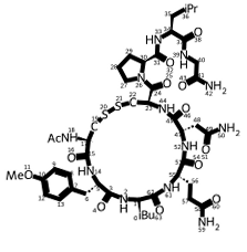 CC[C@H](C)C1NC(=O)[C@H](Cc2ccc(OC)cc2)NC(=O)[C@@H](NC(C)=O)CSSC[C@@H](C(=O)N2CCC[C@H]2C(=O)N[C@@H](CC(C)C)C(=O)NCC(N)=O)NC(=O)[C@H](CC(N)=O)NC(=O)[C@H](CCC(N)=O)NC1=O